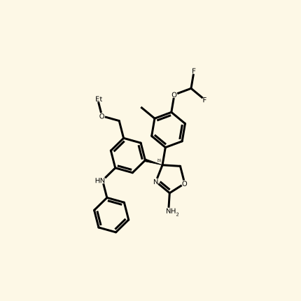 CCOCc1cc(Nc2ccccc2)cc([C@@]2(c3ccc(OC(F)F)c(C)c3)COC(N)=N2)c1